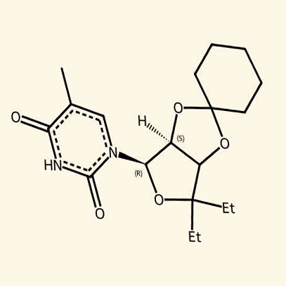 CCC1(CC)O[C@@H](n2cc(C)c(=O)[nH]c2=O)[C@H]2OC3(CCCCC3)OC21